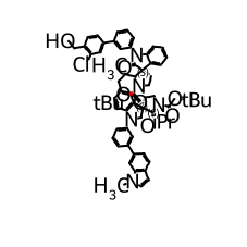 CC(Cc1ccc2c(c1)[C@]1(CCN(C(=O)OC(C)(C)C)[C@H]1C(C)C)C(=O)N2c1cccc(-c2ccc3ccn(C)c3c2)c1)C1N(C(=O)OC(C)(C)C)CC[C@@]12C(=O)N(c1cccc(-c3ccc(CO)c(Cl)c3)c1)c1ccccc12